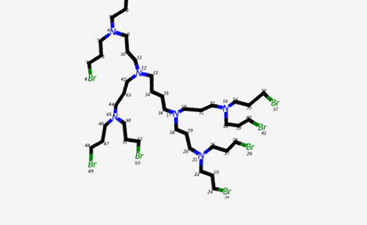 BrCCCN(CCCBr)CCCN(CCCCN(CCCN(CCCBr)CCCBr)CCCN(CCCBr)CCCBr)CCCN(CCCBr)CCCBr